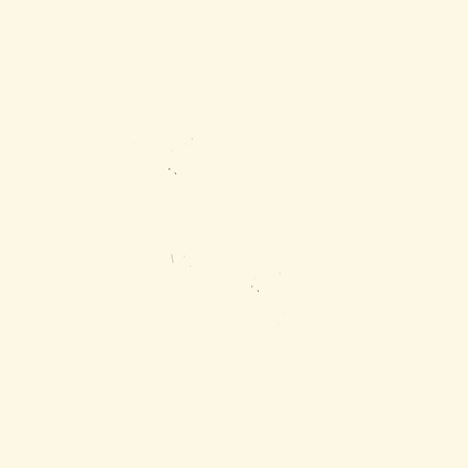 Cc1cccc(-c2nc(COCC3CCCC(NC(=O)C4CC4)C3)c(C)o2)c1.O=C(O)O